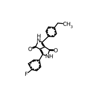 CCc1ccc(C2=C3C(=O)NC(c4ccc(F)cc4)=C3C(=O)N2)cc1